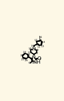 Cc1[nH]c(=O)n(C2CCN(Cc3cccc(I)c3)CC2)c1-c1ccccc1